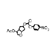 CC(=O)OC1COC2CC(OC(=O)Oc3ccc([N+](=O)[O-])cc3)CC21